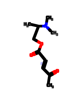 CC(=O)/C=C/C(=O)OCC(C)N(C)C